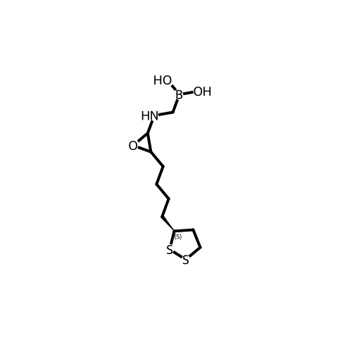 OB(O)CNC1OC1CCCC[C@H]1CCSS1